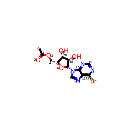 CC(=O)OC[C@H]1O[C@@H](n2cnc3c(Br)ncnc32)[C@@H](O)[C@H]1O